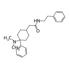 CN(C)C1(c2ccccc2)CCC(CC(=O)NCCc2ccccc2)CC1